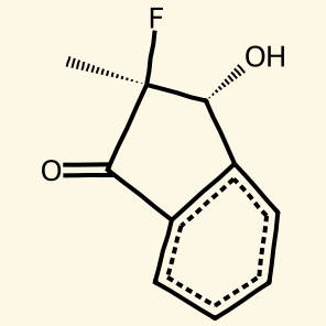 C[C@@]1(F)C(=O)c2ccccc2[C@H]1O